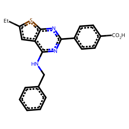 CCc1cc2c(NCc3ccccc3)nc(-c3ccc(C(=O)O)cc3)nc2s1